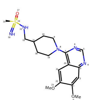 COc1cc2ncnc(N3CCC(CN[S@](C)(=N)=O)CC3)c2cc1OC